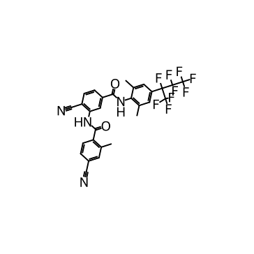 Cc1cc(C#N)ccc1C(=O)Nc1cc(C(=O)Nc2c(C)cc(C(F)(C(F)(F)F)C(F)(F)C(F)(F)F)cc2C)ccc1C#N